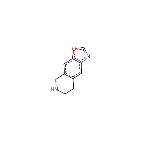 c1nc2cc3c(cc2o1)CNCC3